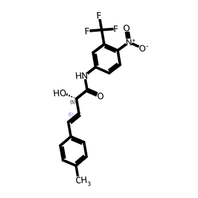 Cc1ccc(/C=C/[C@H](O)C(=O)Nc2ccc([N+](=O)[O-])c(C(F)(F)F)c2)cc1